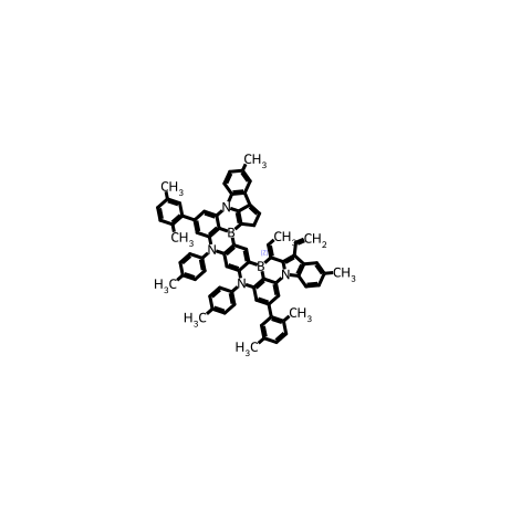 C=Cc1c2n(c3ccc(C)cc13)-c1cc(-c3cc(C)ccc3C)cc3c1B(/C2=C/C)c1cc2c(cc1N3c1ccc(C)cc1)N(c1ccc(C)cc1)c1cc(-c3cc(C)ccc3C)cc3c1B2C1=c2c(c4cc(C)ccc4n2-3)=CC1